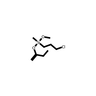 C=C(CC)O[Si](C)(CCCCl)OC